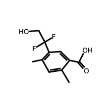 Cc1cc(C)c(C(F)(F)CO)cc1C(=O)O